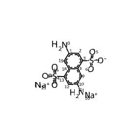 Nc1cc(S(=O)(=O)[O-])c2cc(N)cc(S(=O)(=O)[O-])c2c1.[Na+].[Na+]